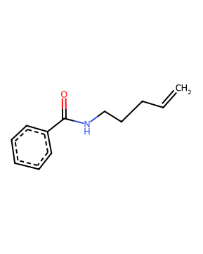 C=CCCCNC(=O)c1ccccc1